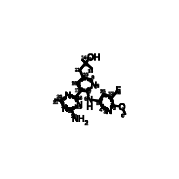 COc1ncc(Nc2ncc(CC(C)(C)O)cc2-c2nc(C)nc(N)n2)cc1F